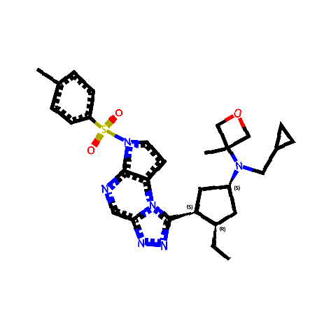 CC[C@@H]1C[C@H](N(CC2CC2)C2(C)COC2)C[C@@H]1c1nnc2cnc3c(ccn3S(=O)(=O)c3ccc(C)cc3)n12